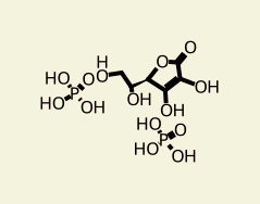 O=C1O[C@H](C(O)CO)C(O)=C1O.O=P(O)(O)O.O=P(O)(O)O